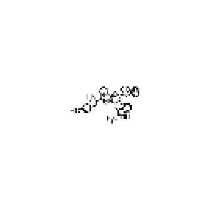 N[C@@H](Cc1ccc(O)cc1)C(=O)N1CCC[C@H]1C(=O)N[C@@H](Cc1c(C(F)(F)F)[nH]c2ccccc12)C(=O)N[C@@H](Cc1ccccc1)C(=O)O